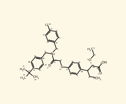 CCO[C@H](C(=O)O)C(CC)c1ccc(OCC(=O)N(Cc2ccc(Cl)cc2)Cc2ccc(C(C)(C)C)cc2)cc1